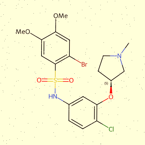 COc1cc(Br)c(S(=O)(=O)Nc2ccc(Cl)c(O[C@H]3CCN(C)C3)c2)cc1OC